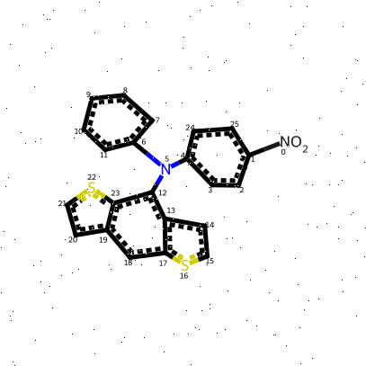 O=[N+]([O-])c1ccc(N(c2ccccc2)c2c3ccsc3cc3ccsc23)cc1